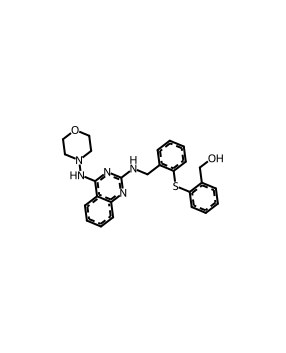 OCc1ccccc1Sc1ccccc1CNc1nc(NN2CCOCC2)c2ccccc2n1